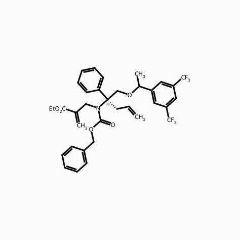 C=CC[C@@](COC(C)c1cc(C(F)(F)F)cc(C(F)(F)F)c1)(c1ccccc1)N(CC(=C)C(=O)OCC)C(=O)OCc1ccccc1